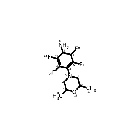 CC1CN(C2=C(F)C(F)C(N)C(F)=C2F)CC(C)O1